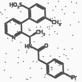 Cc1ccc(S(=O)(=O)O)c(-c2cccnc2[C@@H](C)NC(=O)Cc2ccc(C(C)C)cc2)c1